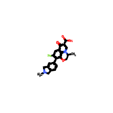 CC1COc2c(-c3ccc4c(c3)CN(C)C4)c(F)cc3c(=O)c(C(=O)O)cn1c23